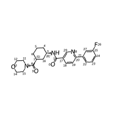 O=C(N[C@@H]1CCC[C@H](C(=O)N2CCOCC2)C1)c1ccc(-c2cccc(F)c2)nc1